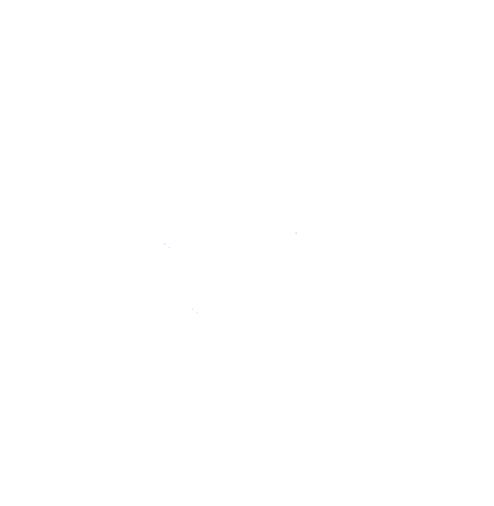 COc1cc(-c2cn(C)c(=O)c3cnccc23)cc(F)c1C(=O)N1CCC(C)CC1